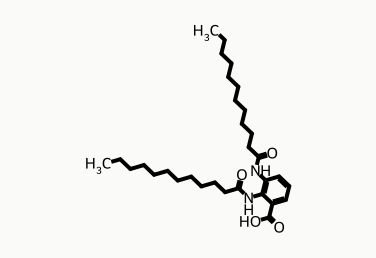 CCCCCCCCCCCC(=O)Nc1cccc(C(=O)O)c1NC(=O)CCCCCCCCCCC